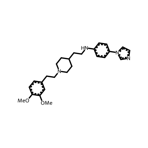 COc1ccc(CCN2CCC(CCNc3ccc(-n4ccnc4)cc3)CC2)cc1OC